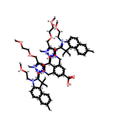 COCCOCc1cn(Cc2cc(C(=O)O)cc(Cn3cc(COCCOC)[n+](C)n3)c2C(=C\C=C\C2=[N+](CCOC)c3ccc4cc(C)ccc4c3C2(C)C)/C=C/C=C2/N(CCOC)c3ccc4cc(C)ccc4c3C2(C)C)n[n+]1C